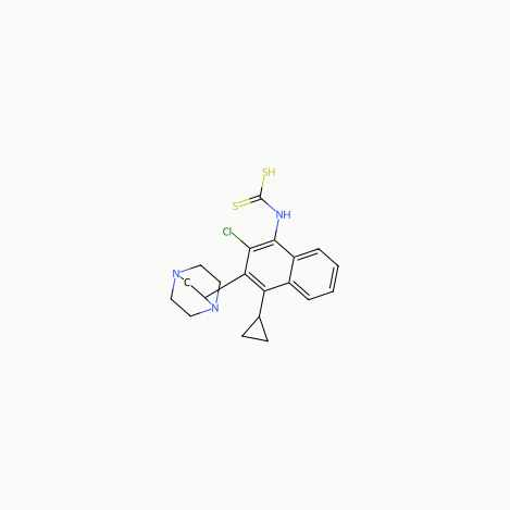 S=C(S)Nc1c(Cl)c(C2CN3CCN2CC3)c(C2CC2)c2ccccc12